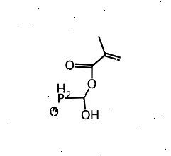 C=C(C)C(=O)OC(O)[PH2]=O